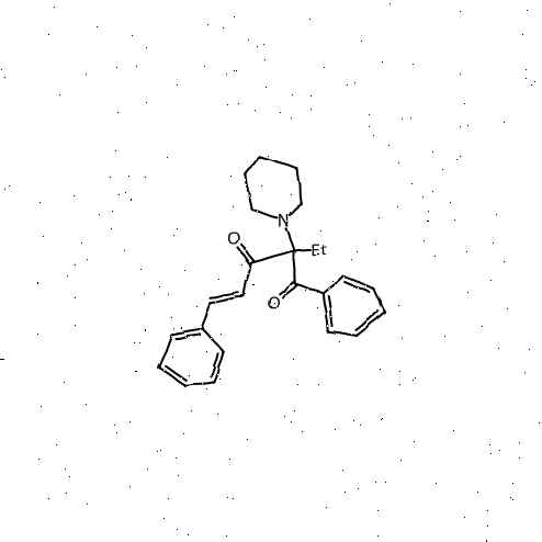 CCC(C(=O)C=Cc1ccccc1)(C(=O)c1ccccc1)N1CCCCC1